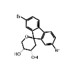 O[C@@H]1COC2(C[C@@H]1O)c1cc(Br)ccc1-c1ccc(Br)cc12